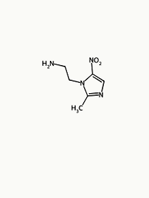 Cc1ncc([N+](=O)[O-])n1CCN